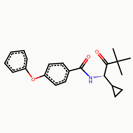 CC(C)(C)C(=O)[C@@H](NC(=O)c1ccc(Oc2ccccc2)cc1)C1CC1